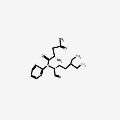 CCC(CC)CC[C@@H]([C]=O)N(C(=O)[C@@H](N)CC(N)=O)c1ccccc1